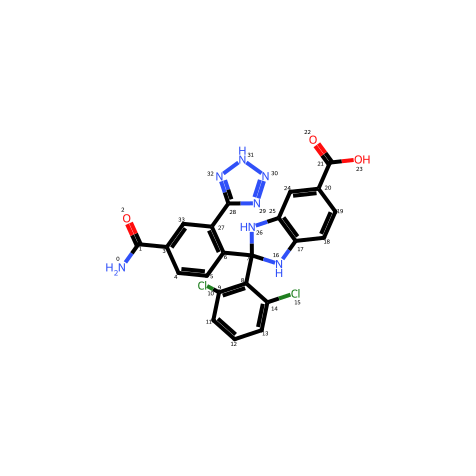 NC(=O)c1ccc(C2(c3c(Cl)cccc3Cl)Nc3ccc(C(=O)O)cc3N2)c(-c2nn[nH]n2)c1